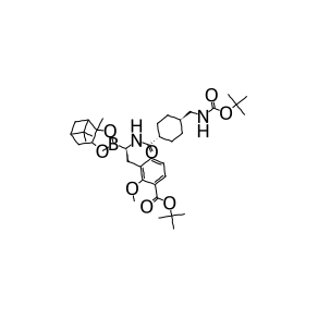 COc1c(C[C@H](NC(=O)[C@H]2CC[C@H](CNC(=O)OC(C)(C)C)CC2)B2OC3CC4CC(C4(C)C)C3(C)O2)cccc1C(=O)OC(C)(C)C